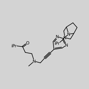 CC(C)C(=O)CCN(C)CC#Cc1cnc(N2C3CCC2CN(C(C)C)C3)nc1